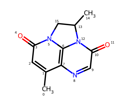 Cc1cc(=O)n2c3c1ncc(=O)n3C(C)C2